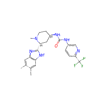 Cc1cc2nc([C@H]3C[C@H](NC(=O)Nc4ccc(C(F)(F)F)nc4)CCN3C)[nH]c2cc1C